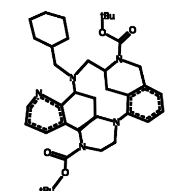 CC(C)(C)OC(=O)N1CCN(c2cccc3c2CC(CN(CC2CCCCC2)C2CCCc4cccnc42)N(C(=O)OC(C)(C)C)C3)CC1